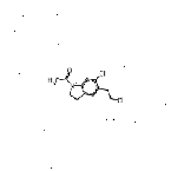 CC(=O)N1CCc2cc(CCCl)c(Cl)cc21